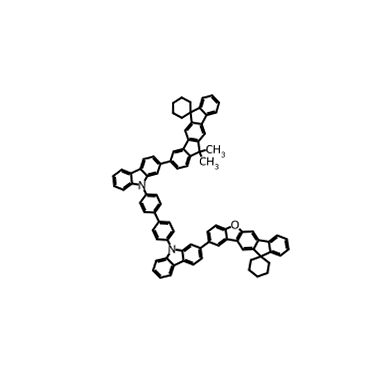 CC1(C)c2ccc(-c3ccc4c5ccccc5n(-c5ccc(-c6ccc(-n7c8ccccc8c8ccc(-c9ccc%10oc%11cc%12c(cc%11c%10c9)C9(CCCCC9)c9ccccc9-%12)cc87)cc6)cc5)c4c3)cc2-c2cc3c(cc21)-c1ccccc1C31CCCCC1